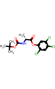 C[C@@H](NC(=O)OC(C)(C)C)C(=O)Oc1cc(Cl)c(Cl)cc1Cl